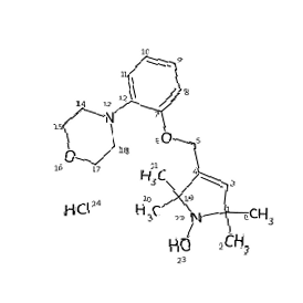 CC1(C)C=C(COc2ccccc2N2CCOCC2)C(C)(C)N1O.Cl